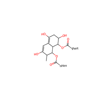 CCCCCCC(=O)OC1C(C)C(O)=CC2=C(O)CC(O)C(OC(=O)C(C)CCC)C21